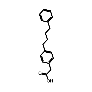 O=C(O)Cc1ccc(CCCCc2ccccc2)cc1